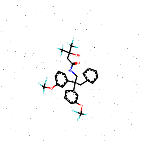 O=C(CC(O)(C(F)(F)F)C(F)(F)F)NCC(Cc1ccccc1)(c1cccc(OC(F)(F)F)c1)c1cccc(OC(F)(F)F)c1